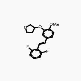 COc1ccc(C=Cc2c(F)cccc2F)cc1OC1CCOC1